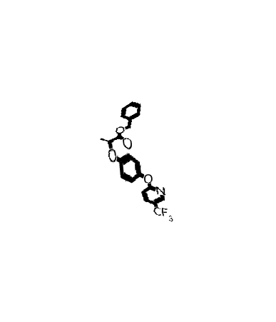 C[C@H](Oc1ccc(Oc2ccc(C(F)(F)F)cn2)cc1)C(=O)OCc1ccccc1